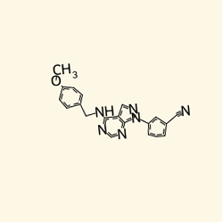 COc1ccc(CNc2ncnc3c2cnn3-c2cccc(C#N)c2)cc1